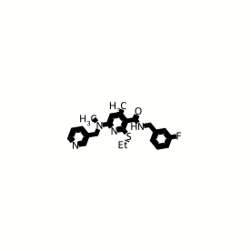 CCSc1nc(N(C)Cc2cccnc2)cc(C)c1C(=O)NCc1cccc(F)c1